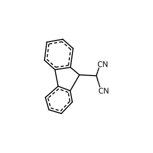 N#CC(C#N)C1c2ccccc2-c2ccccc21